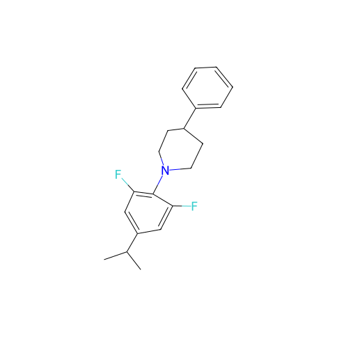 CC(C)c1cc(F)c(N2CCC(c3ccccc3)CC2)c(F)c1